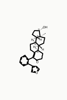 C[C@]12CC[C@H]3[C@@H](CCC4=C(c5ccccc5-c5ccoc5)C(=O)CC[C@@H]43)[C@@H]1CC[C@@H]2O